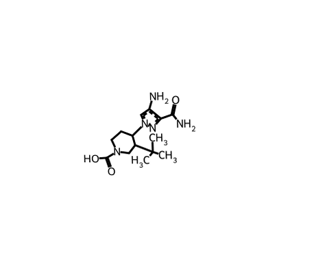 CC(C)(C)C1CN(C(=O)O)CCC1n1cc(N)c(C(N)=O)n1